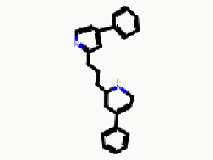 C1=C(c2ccccc2)CC(CCCc2cc(-c3ccccc3)ccn2)NC1